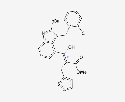 CCCCc1nc2cccc(/C(O)=C(\Cc3cccs3)C(=O)OC)c2n1Cc1ccccc1Cl